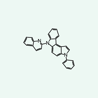 c1ccc(-n2ccc3c4c5ccccc5n(-c5ccc6ccccc6n5)c4ccc32)cc1